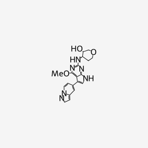 COc1nc(N[C@@H]2CCOC[C@H]2O)nc2[nH]cc(-c3ccn4nccc4c3)c12